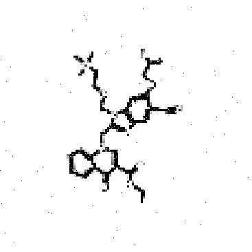 CCOC(=O)c1cn(Cc2nc3cc(C#N)c(OCC(F)F)cc3n2COCC[Si](C)(C)C)c2ccccc2c1=O